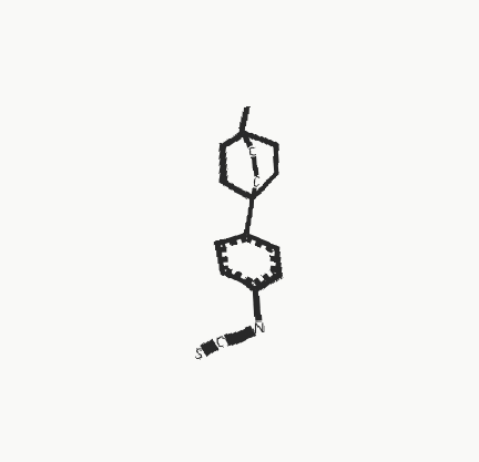 CC12CCC(c3ccc(N=C=S)cc3)(CC1)CC2